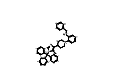 Cc1c(C2CCN(c3ccccc3NCc3ccccc3)CC2)ncn1C(c1ccccc1)(c1ccccc1)c1ccccc1